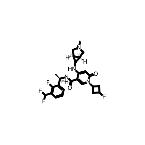 C[C@@H](NC(=O)c1cn(C2CC(F)C2)c(=O)cc1NC1[C@H]2CN(C)C[C@@H]12)c1cccc(C(F)F)c1F